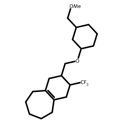 COCC1CCCC(OCC2CC3=C(CCCCC3)CC2C(F)(F)F)C1